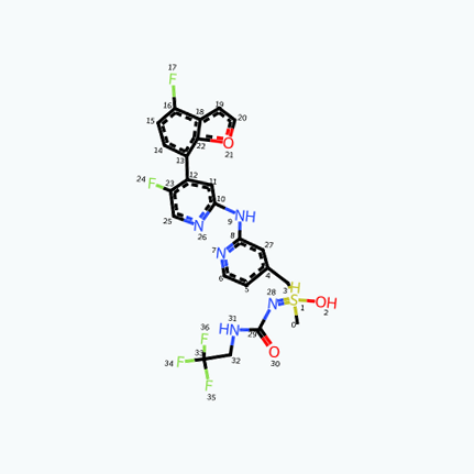 C[SH](O)(Cc1ccnc(Nc2cc(-c3ccc(F)c4ccoc34)c(F)cn2)c1)=NC(=O)NCC(F)(F)F